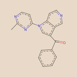 Cc1nccc(-n2cc(C(=O)c3ccccc3)c3cnccc32)n1